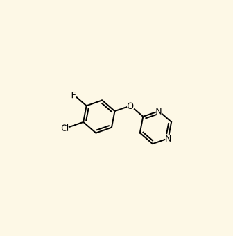 Fc1cc(Oc2ccncn2)ccc1Cl